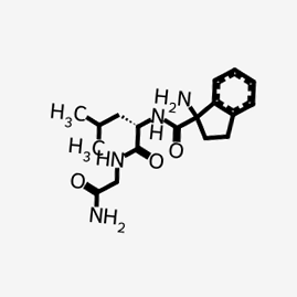 CC(C)C[C@H](NC(=O)C1(N)CCc2ccccc21)C(=O)NCC(N)=O